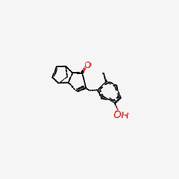 Cc1ccc(O)cc1C1=CC2C3C=CC(C3)C2C1=O